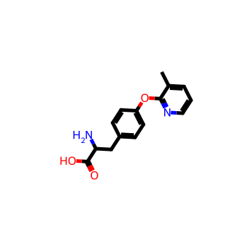 Cc1cccnc1Oc1ccc(CC(N)C(=O)O)cc1